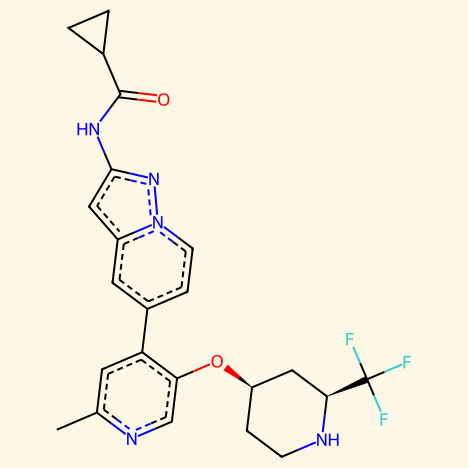 Cc1cc(-c2ccn3nc(NC(=O)C4CC4)cc3c2)c(O[C@@H]2CCN[C@H](C(F)(F)F)C2)cn1